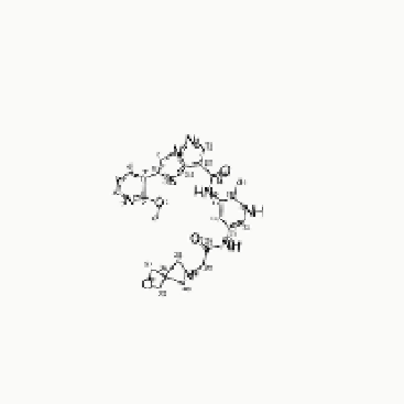 COc1ncccc1-c1cn2ncc(C(=O)NC3=CC(NC(=O)CN4CC5(COC5)C4)=CNC3C)c2s1